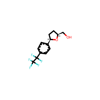 OC[C@@H]1CC[C@H](c2ccc(C(F)(F)C(F)(F)F)cc2)O1